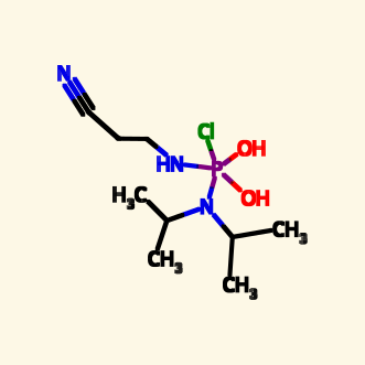 CC(C)N(C(C)C)P(O)(O)(Cl)NCCC#N